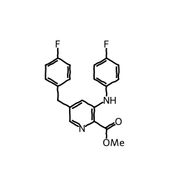 COC(=O)c1ncc(Cc2ccc(F)cc2)cc1Nc1ccc(F)cc1